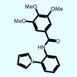 COc1cc(C(=O)Nc2ccccc2-n2cccc2)cc(OC)c1OC